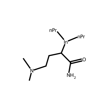 CC[CH2][In]([CH2]CC)[CH](CCN(C)C)C(N)=O